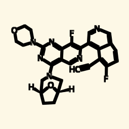 C#Cc1c(F)ccc2cncc(-c3ncc4c(N5C[C@H]6CC[C@@H](C5)O6)nc(N5CCOCC5)nc4c3F)c12